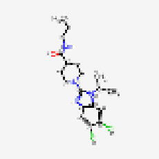 CCCNC(=O)C1CCN(c2nc3cc(Cl)c(Cl)cc3n2C(C)C)CC1